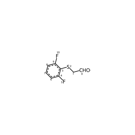 O=[C]CSc1c(F)cccc1F